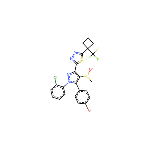 C[S+]([O-])c1c(-c2nnc(C3(C(F)(F)F)CCC3)s2)nn(-c2ccccc2Cl)c1-c1ccc(Br)cc1